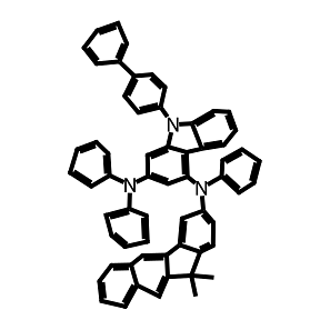 CC1(C)c2ccc(N(c3ccccc3)c3cc(N(c4ccccc4)c4ccccc4)cc4c3c3ccccc3n4-c3ccc(-c4ccccc4)cc3)cc2-c2cc3ccccc3cc21